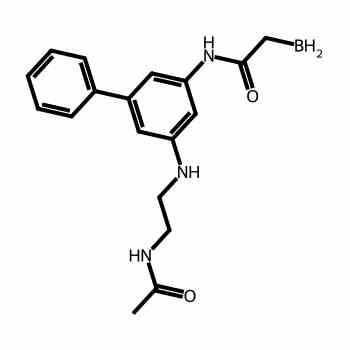 BCC(=O)Nc1cc(NCCNC(C)=O)cc(-c2ccccc2)c1